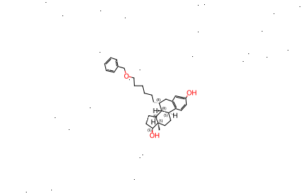 C[C@]12CC[C@@H]3c4ccc(O)cc4C[C@@H](CCCCCCOCc4ccccc4)[C@H]3[C@@H]1CC[C@@H]2O